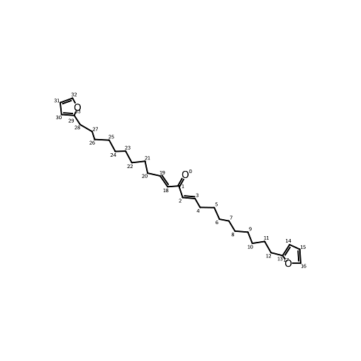 O=C(C=CCCCCCCCCCc1ccco1)C=CCCCCCCCCCc1ccco1